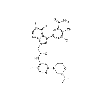 CC(C)[C@@H]1CN(c2cc(NC(=O)Cn3cc(-c4cc(Cl)c(O)c(C(N)=O)c4)c4c(=O)n(C)cnc43)c(Cl)cn2)CCO1